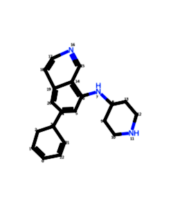 C1=CCC(c2cc(NC3CCNCC3)c3cnccc3c2)C=C1